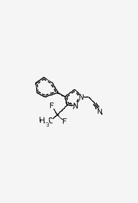 CC(F)(F)c1nn(CC#N)cc1-c1ccccc1